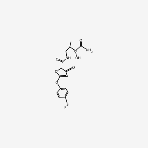 CC(CNC(=O)[C@H]1OC(Oc2ccc(SF)cc2)=CC1=O)N(O)C(N)=O